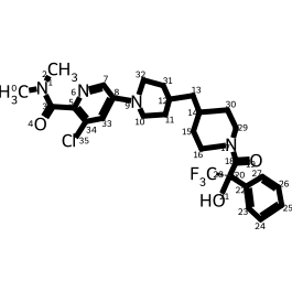 CN(C)C(=O)c1ncc(N2CCC(CC3CCN(C(=O)[C@](O)(c4ccccc4)C(F)(F)F)CC3)CC2)cc1Cl